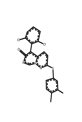 Cc1ccc(Sc2ccc3c(-c4c(Cl)cccc4Cl)c(=O)ncn3n2)cc1C